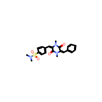 CN(C)S(=O)(=O)c1ccc(C=c2c(=O)n(C)c(=Cc3ccccc3)c(=O)n2C)cc1